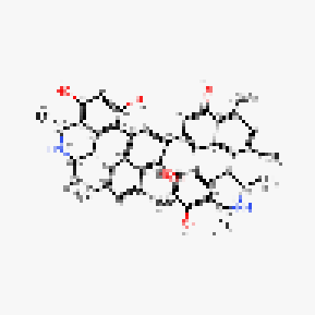 COc1cc(C)cc2c(-c3c(O)cc(O)c4c3C[C@@H](C)N[C@@H]4C)c(-c3cc(-c4c(O)cc(O)c5c4C[C@@H](C)N[C@@H]5C)c4cc(C)cc(OC)c4c3O)cc(O)c12